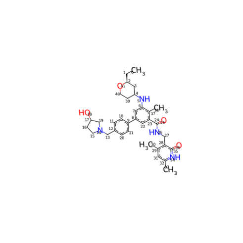 CC[C@H]1CC(Nc2cc(-c3ccc(CN4CCC(O)C4)cc3)cc(C(=O)NCc3c(C)cc(C)[nH]c3=O)c2C)CCO1